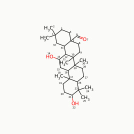 CC1(C)CCC2(C=O)CCC3(C)C(C(O)CC4C5(C)CCC(O)C(C)(C)C5CCC43C)C2C1